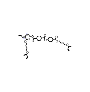 C=C/C=C(\C=C/COC(=O)C1CCC(C(=O)OC2CCC(C(=O)OCCCCOC(=C)C=C)CC2)CC1)C(=O)OCCCCOC(=O)C=C